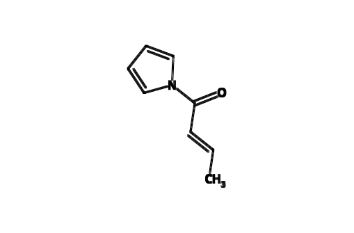 C/C=C/C(=O)n1cccc1